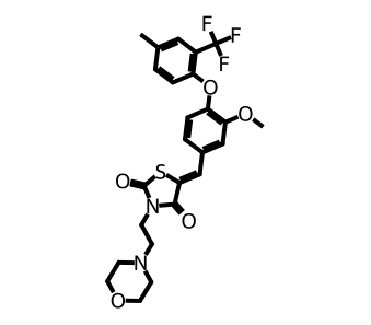 COc1cc(/C=C2\SC(=O)N(CCN3CCOCC3)C2=O)ccc1Oc1ccc(C)cc1C(F)(F)F